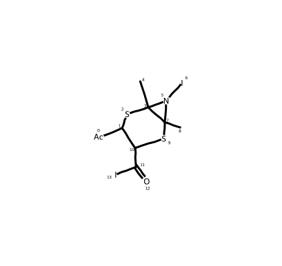 CC(=O)C1SC2(C)N(I)C2(C)SC1C(=O)I